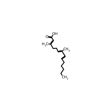 CCCCCC=CC(C)=CCCC(C)=CC(=O)O